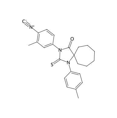 [C-]#[N+]c1ccc(N2C(=O)C3(CCCCCC3)N(c3ccc(C)cc3)C2=S)cc1C